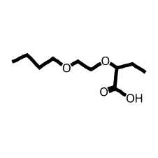 CCCCOCCOC(CC)C(=O)O